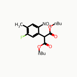 CCCCOC(=O)C(C(=O)OCCCC)c1cc(F)c(C)cc1[N+](=O)[O-]